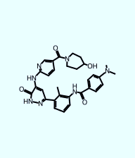 Cc1c(NC(=O)c2ccc(N(C)C)cc2)cccc1-c1cc(Nc2ccc(C(=O)N3CCC(O)CC3)cn2)c(=O)[nH]n1